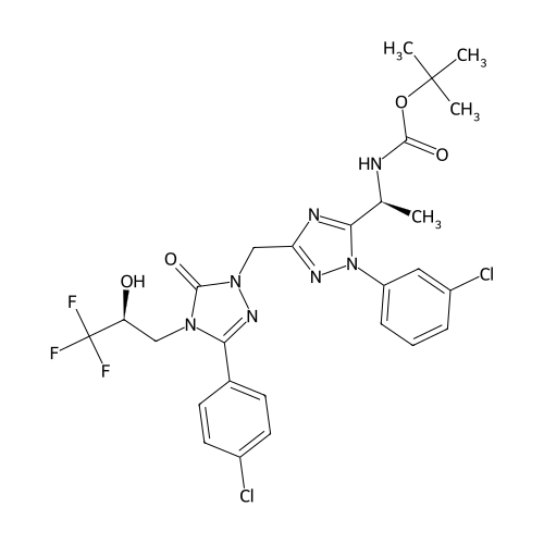 C[C@H](NC(=O)OC(C)(C)C)c1nc(Cn2nc(-c3ccc(Cl)cc3)n(C[C@H](O)C(F)(F)F)c2=O)nn1-c1cccc(Cl)c1